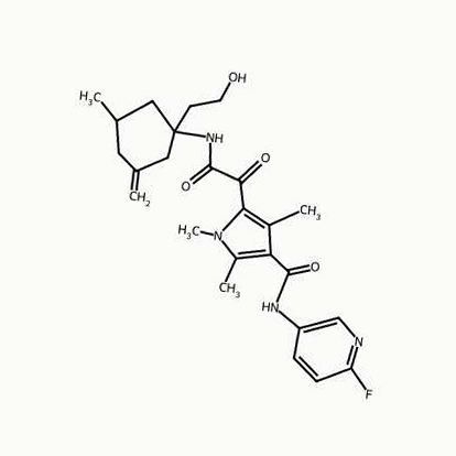 C=C1CC(C)CC(CCO)(NC(=O)C(=O)c2c(C)c(C(=O)Nc3ccc(F)nc3)c(C)n2C)C1